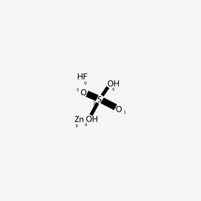 F.O=S(=O)(O)O.[Zn]